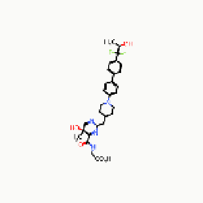 CC(O)C(F)(F)c1ccc(-c2ccc(N3CCC(CC4N=CC(C)(O)C(C(=O)NCC(=O)O)=N4)CC3)cc2)cc1